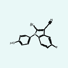 N#Cc1c(Br)n(-c2ccc(O)cc2)c2ccc(F)cc12